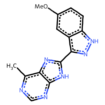 COc1ccc2[nH]nc(-c3nc4c(C)ncnc4[nH]3)c2c1